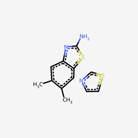 Cc1cc2nc(N)sc2cc1C.c1cscn1